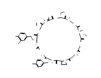 CC[C@H](C)[C@@H]1NC(=O)[C@H](CC(C)C)N(C)C(=O)C[C@@H](C)N(C)C(=O)[C@H](CC(C)C)NC(=O)C(C)(C)N(C)C(=O)[C@H](CC(C)C)NC(=O)[C@H](CCc2ccc(C(F)(F)F)c(Cl)c2)NC(=O)CN(C)C(=O)[C@H](Cc2ccc(C)cc2)N(C)C(=O)[C@@H]2CCN2C(=O)CN(C)C1=O